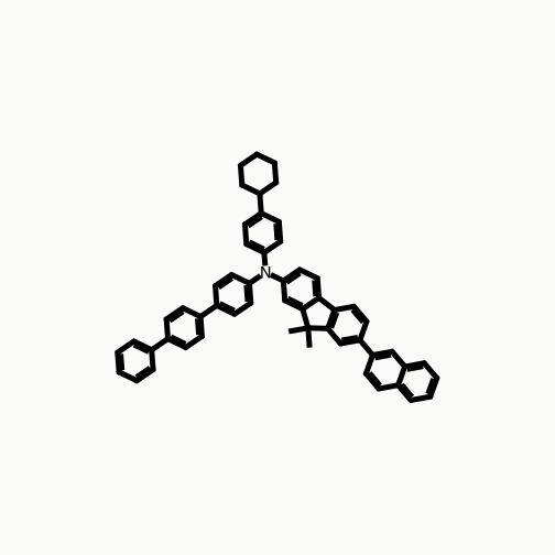 CC1(C)c2cc(-c3ccc4ccccc4c3)ccc2-c2ccc(N(c3ccc(-c4ccc(-c5ccccc5)cc4)cc3)c3ccc(C4CCCCC4)cc3)cc21